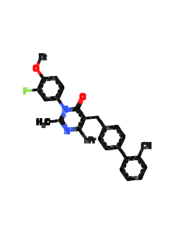 CCCc1nc(C)n(-c2ccc(OCC)c(F)c2)c(=O)c1Cc1ccc(-c2ccccc2C#N)cc1